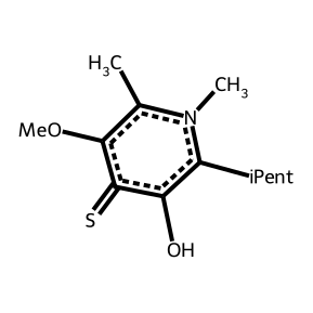 CCCC(C)c1c(O)c(=S)c(OC)c(C)n1C